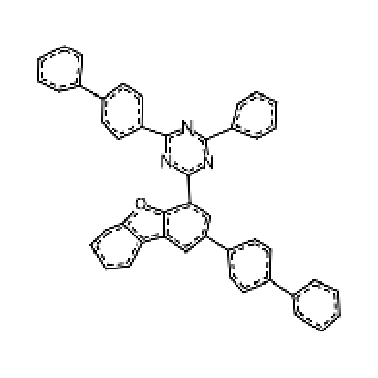 c1ccc(-c2ccc(-c3cc(-c4nc(-c5ccccc5)nc(-c5ccc(-c6ccccc6)cc5)n4)c4oc5ccccc5c4c3)cc2)cc1